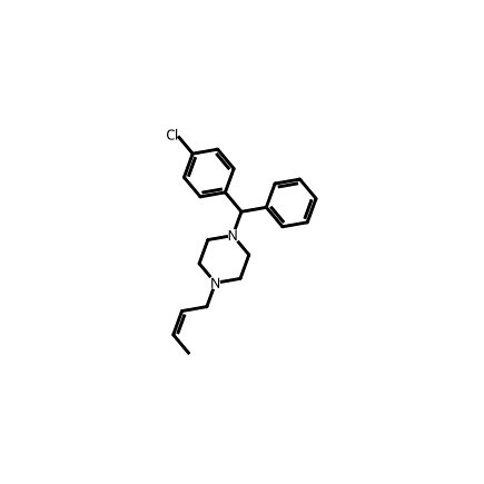 C/C=C\CN1CCN(C(c2ccccc2)c2ccc(Cl)cc2)CC1